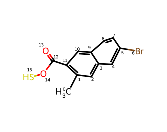 Cc1cc2cc(Br)ccc2cc1C(=O)OS